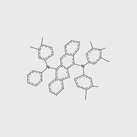 Cc1ccc(N(c2ccccc2)c2c3ccccc3cc3c(N(c4ccc(C)c(C)c4)c4cc(C)c(C)c(C)c4)c4ccccc4cc23)cc1C